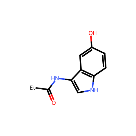 CCC(=O)Nc1c[nH]c2ccc(O)cc12